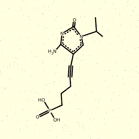 CC(C)n1cc(C#CCCCP(=O)(O)O)c(N)nc1=O